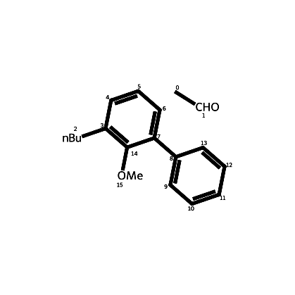 CC=O.CCCCc1cccc(-c2ccccc2)c1OC